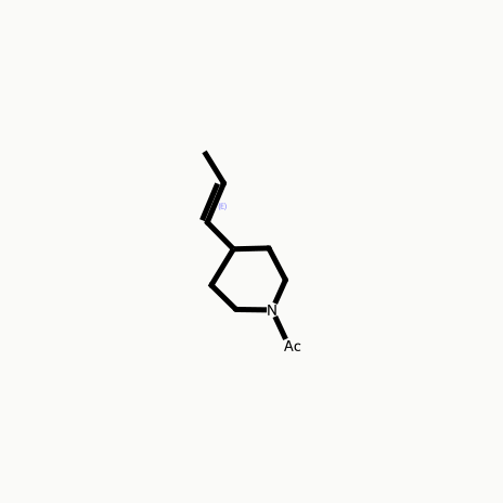 C/C=C/C1CCN(C(C)=O)CC1